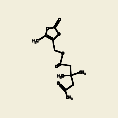 CC(=O)CC(C)(C)CC(=O)OCc1oc(=O)oc1C